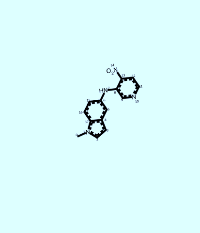 Cn1ccc2cc(Nc3cnccc3[N+](=O)[O-])ccc21